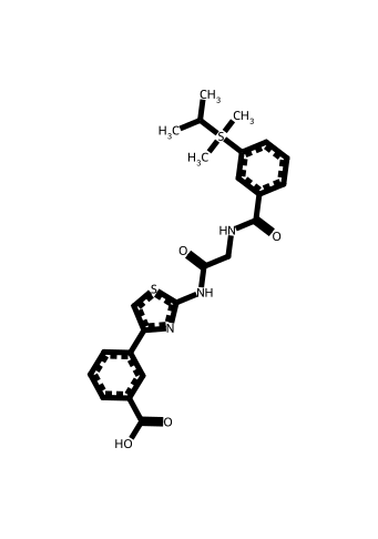 CC(C)S(C)(C)c1cccc(C(=O)NCC(=O)Nc2nc(-c3cccc(C(=O)O)c3)cs2)c1